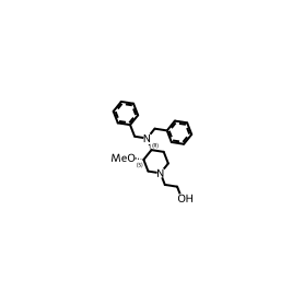 CO[C@H]1CN(CCO)CC[C@H]1N(Cc1ccccc1)Cc1ccccc1